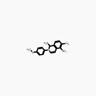 COc1ccc(N2C=Cc3c(ccc(C)c3N)C2N)cc1